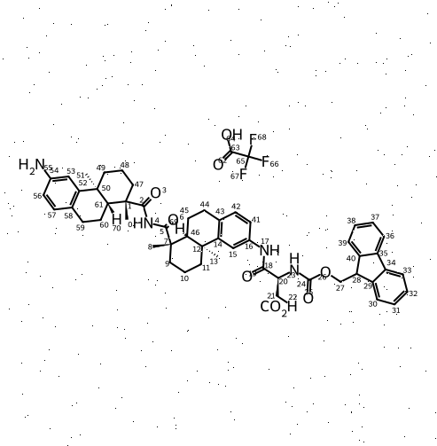 C[C@]1(C(=O)NC(=O)[C@@]2(C)CCC[C@]3(C)c4cc(NC(=O)[C@H](CC(=O)O)NC(=O)OCC5c6ccccc6-c6ccccc65)ccc4CC[C@@H]23)CCC[C@]2(C)c3cc(N)ccc3CC[C@@H]12.O=C(O)C(F)(F)F